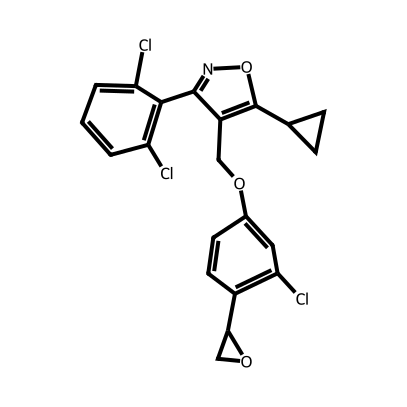 Clc1cc(OCc2c(-c3c(Cl)cccc3Cl)noc2C2CC2)ccc1C1CO1